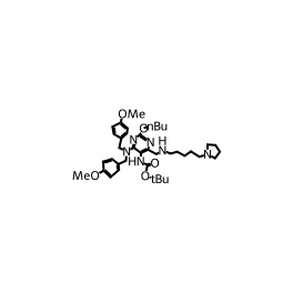 CCCCOc1nc(CNCCCCCN2CCCC2)c(NC(=O)OC(C)(C)C)c(N(Cc2ccc(OC)cc2)Cc2ccc(OC)cc2)n1